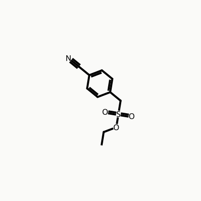 CCOS(=O)(=O)Cc1ccc(C#N)cc1